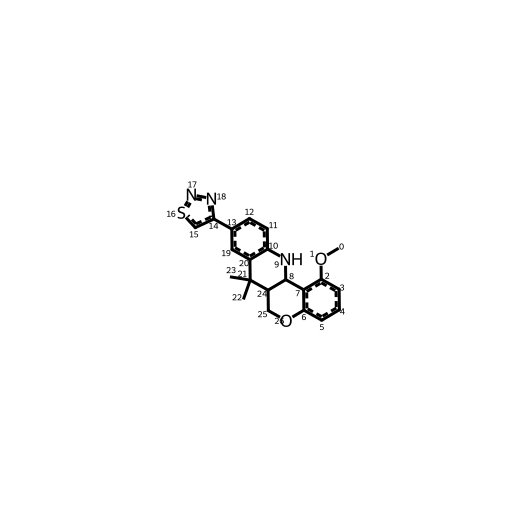 COc1cccc2c1C1Nc3ccc(-c4csnn4)cc3C(C)(C)C1CO2